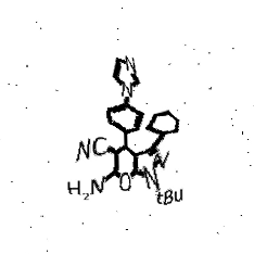 CC(C)(C)n1nc(C2CCCCC2)c2c1OC(N)=C(C#N)C2c1ccc(-n2ccnc2)cc1